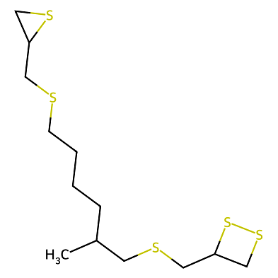 CC(CCCCSCC1CS1)CSCC1CSS1